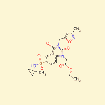 CCOC(=O)Cn1c(=O)n(Cc2cc(C)no2)c(=O)c2cc(S(=O)(=O)NC3(C)CC3)ccc21